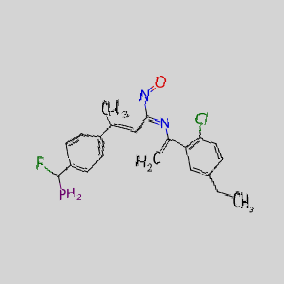 C=C(/N=C(\C=C(/C)c1ccc(C(F)P)cc1)N=O)c1cc(CC)ccc1Cl